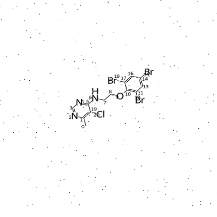 Cc1ncnc(NCCOc2c(Br)cc(Br)cc2Br)c1Cl